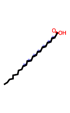 CCCCCCCC/C=C/C=C/C=C/C=C/C=C/C=C/C=C/C(=O)O